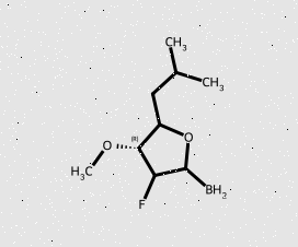 BC1OC(CC(C)C)[C@@H](OC)C1F